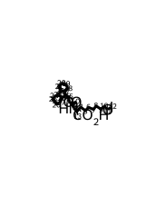 O=C(N[C@@H](CCCCCCCOI)C(=O)O)OCC1c2ccccc2-c2ccccc21